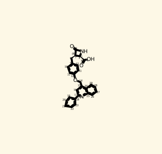 O=C1N[C@@H](C(=O)O)[C@H]1Cc1ccc(OCc2cc(-c3ccccc3)nc3ccccc23)cc1